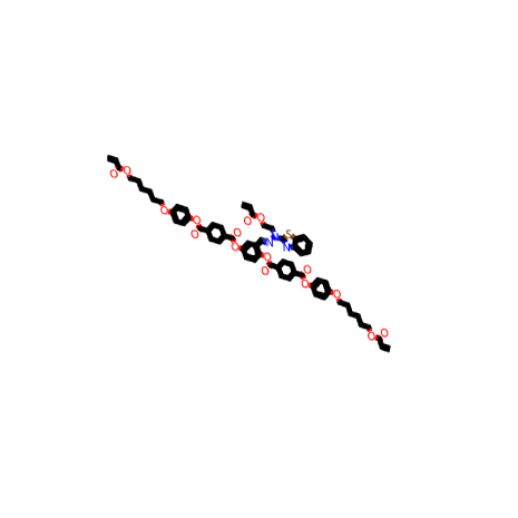 C=CC(=O)OCCCCCCOc1ccc(OC(=O)C2CCC(C(=O)Oc3ccc(OC(=O)C4CCC(C(=O)Oc5ccc(OCCCCCCOC(=O)C=C)cc5)CC4)c(/C=N/N(CCOC(=O)C=C)c4nc5ccccc5s4)c3)CC2)cc1